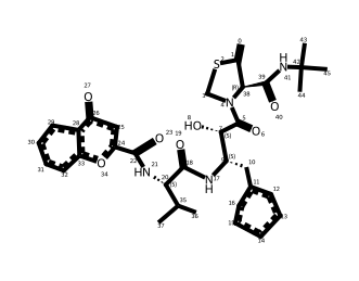 C=C1SCN(C(=O)[C@@H](O)[C@H](Cc2ccccc2)NC(=O)[C@@H](NC(=O)c2cc(=O)c3ccccc3o2)C(C)C)[C@@H]1C(=O)NC(C)(C)C